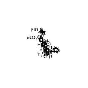 C=C(C)[C@@H]1CC[C@]2(NCCN3CCCCC3)CC[C@]3(C)[C@H](CC[C@@H]4[C@@]5(C)CC=C(C6=CCC(COc7nc(C(=O)OCC)cs7)(C(=O)OCC)CC6)C(C)(C)[C@@H]5CC[C@]43C)[C@@H]12